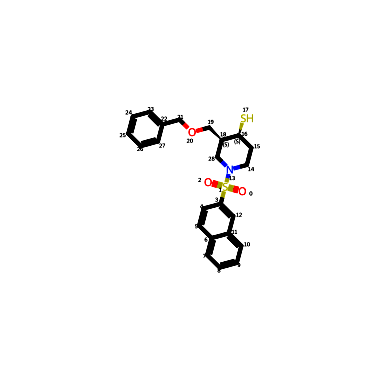 O=S(=O)(c1ccc2ccccc2c1)N1CC[C@H](S)[C@H](COCc2ccccc2)C1